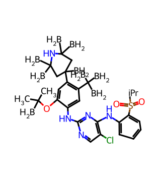 BC1(B)CC(B)(c2cc(OC(B)(C)C)c(Nc3ncc(Cl)c(Nc4ccccc4S(=O)(=O)C(C)C)n3)cc2C(B)(B)B)CC(B)(B)N1